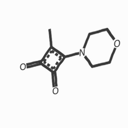 Cc1c(N2CCOCC2)c(=O)c1=O